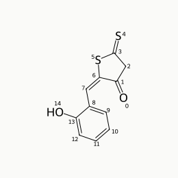 O=C1CC(=S)SC1=Cc1ccccc1O